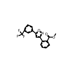 COC(=O)c1ccccc1-c1cc(-c2cccc(C(F)(F)F)c2)on1